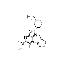 CCN(C)c1nc2nc(N3CCCC(N)C3)n(Cc3ccccc3)c2c(=O)n1C